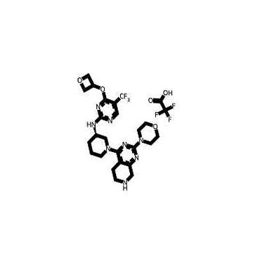 FC(F)(F)c1cnc(N[C@@H]2CCCN(c3nc(N4CCOCC4)nc4c3CCNC4)C2)nc1OC1COC1.O=C(O)C(F)(F)F